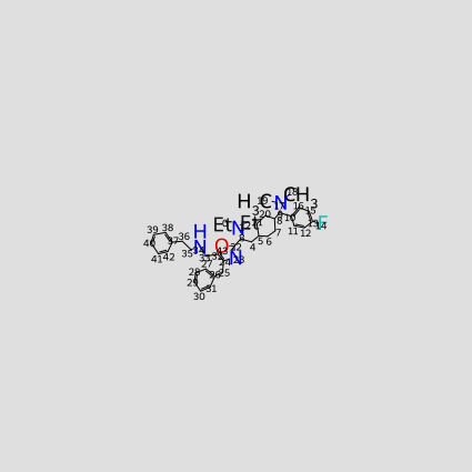 CCN(CC)C(CC1CCC(C(c2ccc(F)cc2)N(C)C)CC1)c1nc(Cc2ccccc2)c(CNCCc2ccccc2)o1